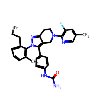 Cc1cccc(CCC(C)C)c1-n1nc2c(c1-c1ccc(NC(N)=O)cc1)CN(c1ncc(C(F)(F)F)cc1F)CC2